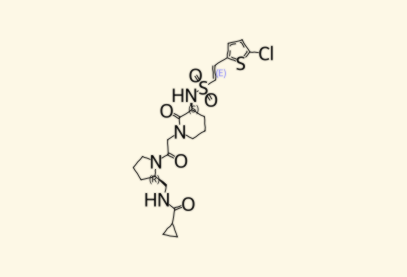 O=C(NC[C@H]1CCCN1C(=O)CN1CCC[C@H](NS(=O)(=O)/C=C/c2ccc(Cl)s2)C1=O)C1CC1